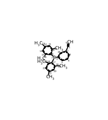 C#Cc1cccc(B(c2c(C)cc(C)cc2C)c2c(C)cc(C)cc2C)c1